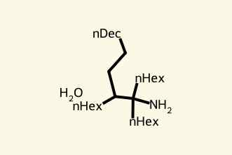 CCCCCCCCCCCCC(CCCCCC)C(N)(CCCCCC)CCCCCC.O